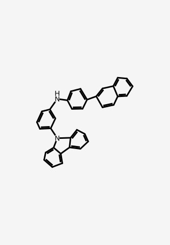 c1cc(Nc2ccc(-c3ccc4ccccc4c3)cc2)cc(-n2c3ccccc3c3ccccc32)c1